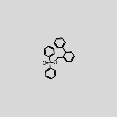 O=P(OCc1ccccc1-c1ccccc1)(c1ccccc1)c1ccccc1